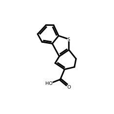 O=C(O)C1=Cc2c(sc3ccccc23)CC1